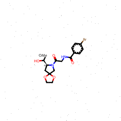 COC(O)[C@@H]1CC2(CN1C(=O)CNC(=O)c1ccc(Br)cc1)OCCO2